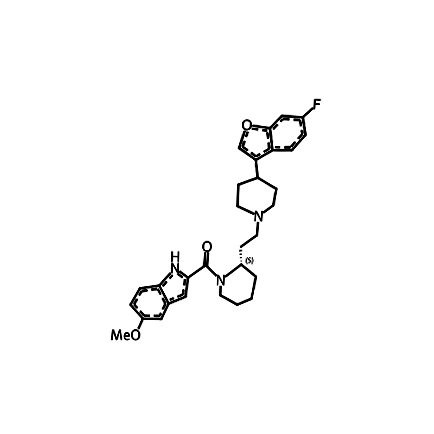 COc1ccc2[nH]c(C(=O)N3CCCC[C@H]3CCN3CCC(c4coc5cc(F)ccc45)CC3)cc2c1